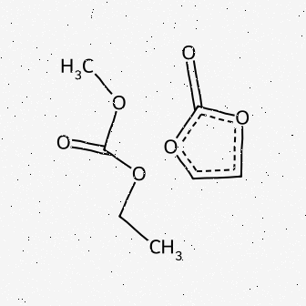 CCOC(=O)OC.O=c1occo1